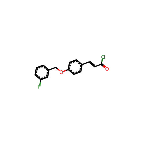 O=C(Cl)/C=C/c1ccc(OCc2cccc(F)c2)cc1